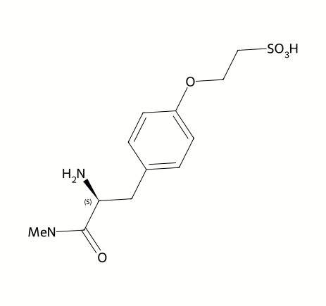 CNC(=O)[C@@H](N)Cc1ccc(OCCS(=O)(=O)O)cc1